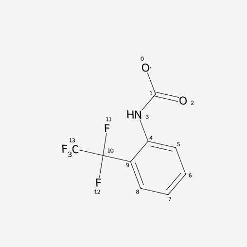 [O]C(=O)Nc1ccccc1C(F)(F)C(F)(F)F